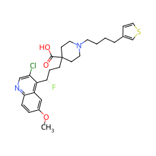 COc1ccc2ncc(Cl)c([C@@H](F)CCC3(C(=O)O)CCN(CCCCc4ccsc4)CC3)c2c1